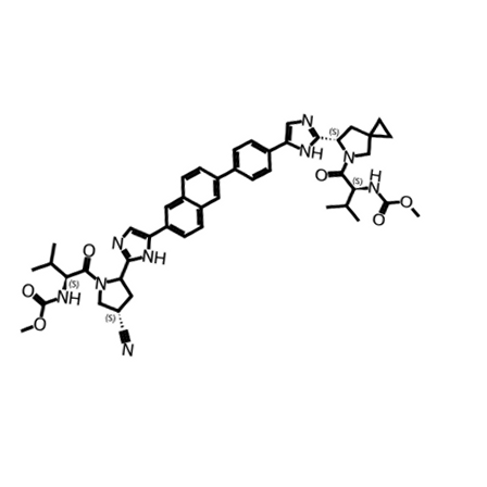 COC(=O)N[C@H](C(=O)N1C[C@@H](C#N)CC1c1ncc(-c2ccc3cc(-c4ccc(-c5cnc([C@@H]6CC7(CC7)CN6C(=O)[C@@H](NC(=O)OC)C(C)C)[nH]5)cc4)ccc3c2)[nH]1)C(C)C